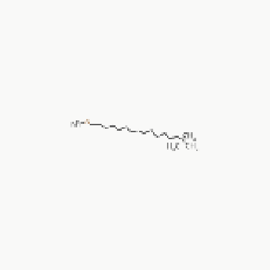 CCCSCCCCCCCCCCCCCC[Si](C)(C)C